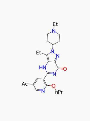 CCCOc1ncc(C(C)=O)cc1-c1nc(=O)c2nn(C3CCN(CC)CC3)c(CC)c2[nH]1